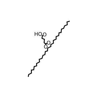 CCCCCCCCCCCCCCCC(CCCCCCCCCCCCCCC)OC(=O)CCCC(=O)O